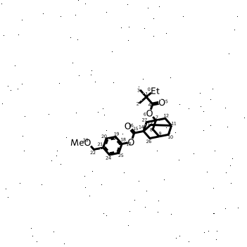 CCC(C)(C)C(=O)OC12CC3CC(C1)CC(C(=O)Oc1ccc(COC)cc1)(C3)C2